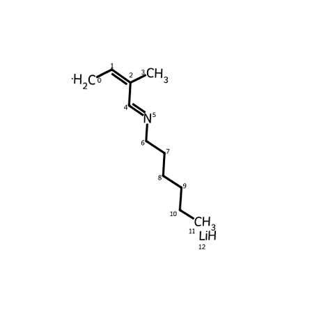 [CH2]C=C(C)C=NCCCCCC.[LiH]